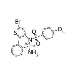 COc1ccc(S(=O)(=O)N2c3cc(Br)sc3-c3ccccc3[C@@]2(C)N)cc1